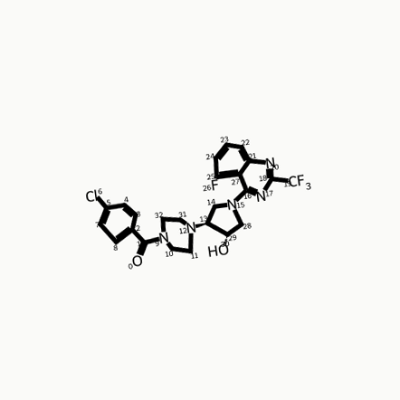 O=C(c1ccc(Cl)cc1)N1CCN([C@H]2CN(c3nc(C(F)(F)F)nc4cccc(F)c34)C[C@@H]2O)CC1